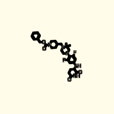 CC1(C)CN(c2c(F)cc(NC3CCC(=O)NC3=O)cc2F)CCN1CC1CCN(C(=O)OCc2ccccc2)CC1